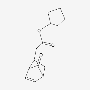 O=C(CC1CC2C=CC1C2=O)OC1CCCC1